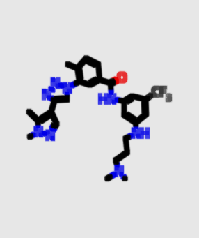 Cc1ccc(C(=O)Nc2cc(NCCCN(C)C)cc(C(F)(F)F)c2)cc1-n1cc(-c2cnn(C)c2C)nn1